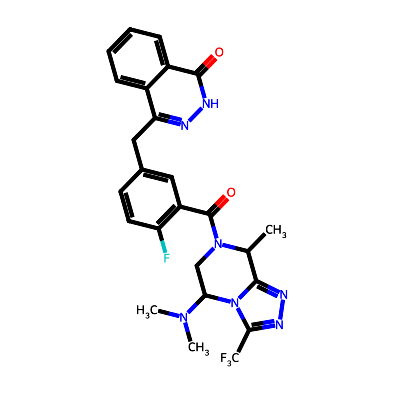 CC1c2nnc(C(F)(F)F)n2C(N(C)C)CN1C(=O)c1cc(Cc2n[nH]c(=O)c3ccccc23)ccc1F